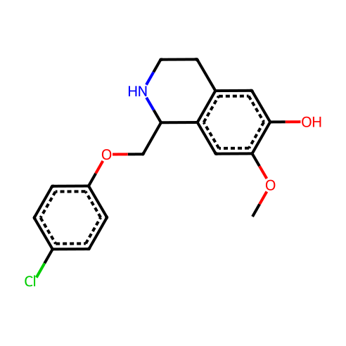 COc1cc2c(cc1O)CCNC2COc1ccc(Cl)cc1